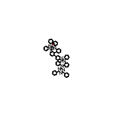 S=P1(c2ccc(-c3cccc4c3-c3ccccc3N(c3ccccc3)P4(=S)c3nc4ccccc4n3-c3ccccc3)cc2)c2ccccc2N(c2nc(-c3ccccc3)nc(-c3ccccc3)n2)c2ccccc2N1c1ccccc1